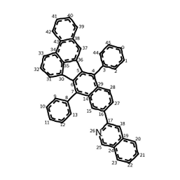 c1ccc(-c2c3c(c(-c4ccccc4)c4cc(-c5cc6ccccc6cn5)ccc24)-c2cccc4c2c-3cc2ccccc24)cc1